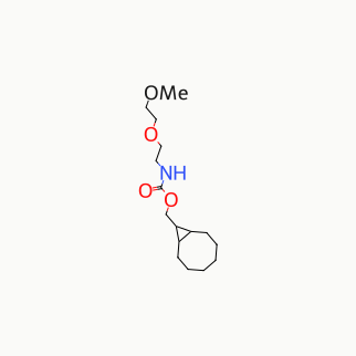 COCCOCCNC(=O)OCC1C2CCCCCCC21